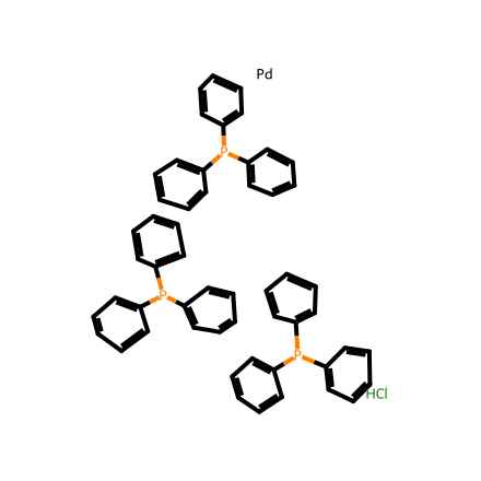 Cl.[Pd].c1ccc(P(c2ccccc2)c2ccccc2)cc1.c1ccc(P(c2ccccc2)c2ccccc2)cc1.c1ccc(P(c2ccccc2)c2ccccc2)cc1